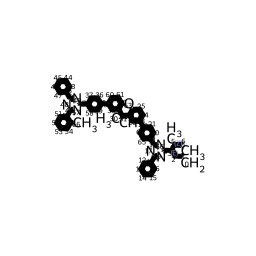 C=C/C=C(\C(C)=C/C)c1nc(-c2ccccc2)nc(-c2ccc(-c3ccc4c(c3)C(C)(C)c3cc(-c5ccc(-c6nc(-c7ccccc7)nc(-c7ccccc7C)n6)cc5)ccc3O4)cc2)n1